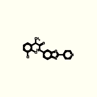 CC(C(=O)Nc1ccc2nc(-c3ccncc3)oc2c1)c1cccc(Cl)c1Cl